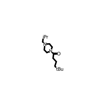 CC(C)CN1CCN(C(=O)CCCC(C)(C)C)CC1